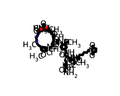 COc1cc(NC(=O)[C@H](CCCNC(N)=O)NC(=O)[C@@H](NC(=O)CCCCCN2C(=O)C=CC2=O)C(C)C)ccc1NC(=O)O[C@H]1CC(=O)N(C)c2cc(cc(OC)c2Cl)C/C(C)=C/C=C/[C@@H](OC)[C@@]2(O)C[C@H](OC(=O)N2)[C@@H](C)[C@@H]2O[C@@]12C